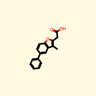 Cc1c(CC(=O)O)oc2ccc(-c3ccccc3)cc12